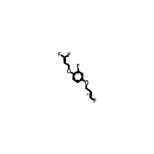 F/C=C/COc1ccc(OCC=C(F)F)c(F)c1